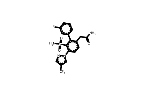 NC(=O)Cc1ccc(-n2cc(C(F)(F)F)cn2)c(S(N)(=O)=O)c1-c1cccc(F)c1